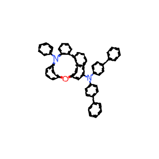 c1ccc(-c2ccc(N(c3ccc(-c4ccccc4)cc3)c3cc4cc5c3cccc5c3ccccc3n(-c3ccccc3)c3cccc(c3)o4)cc2)cc1